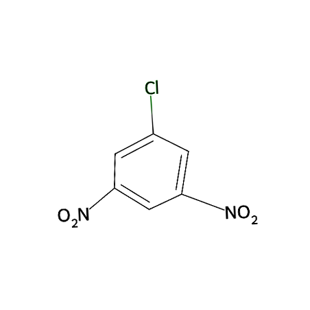 O=[N+]([O-])c1cc(Cl)cc([N+](=O)[O-])c1